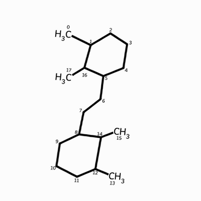 CC1CCCC(CCC2CCCC(C)C2C)C1C